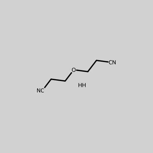 N#CCCOCCC#N.[HH]